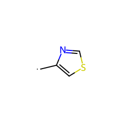 [CH2]c1cscn1